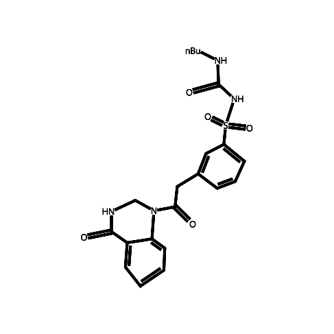 CCCCNC(=O)NS(=O)(=O)c1cccc(CC(=O)N2CNC(=O)c3ccccc32)c1